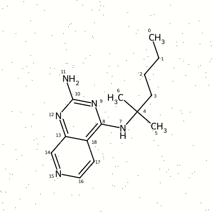 CCCCC(C)(C)Nc1nc(N)nc2cnccc12